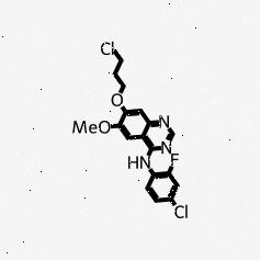 COc1cc2c(Nc3ccc(Cl)cc3F)ncnc2cc1OCCCCl